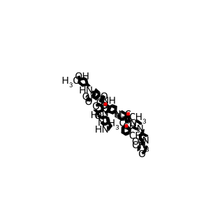 COc1cc(CN2CCN(C3C(C)(C)C4(CCN(c5ccc(C(=O)NS(=O)(=O)c6ccc(NCC7CCC(C)(O)CC7)c([N+](=O)[O-])c6)c(N6c7cc8cc[nH]c8nc7O[C@H]7COCC[C@@H]76)c5)CC4)C3(C)C)[C@H](c3ccccc3C)C2)cnc1N1CCOCC1